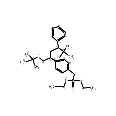 CCOP(=O)(Cc1ccc(C(CSC(C)(C)C)CC(c2ccccc2)C(C)(C)C)cc1)OCC